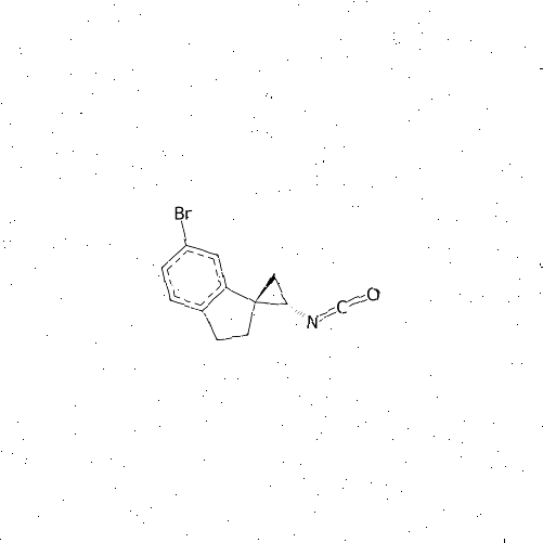 O=C=N[C@H]1C[C@]12CCc1ccc(Br)cc12